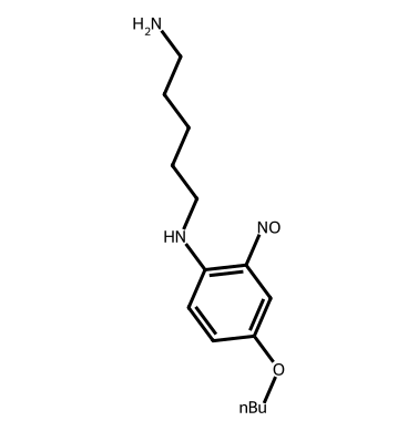 CCCCOc1ccc(NCCCCCN)c(N=O)c1